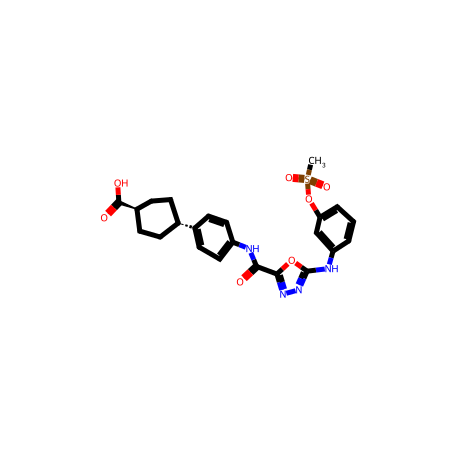 CS(=O)(=O)Oc1cccc(Nc2nnc(C(=O)Nc3ccc([C@H]4CC[C@H](C(=O)O)CC4)cc3)o2)c1